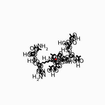 Cc1cn(C2CO[C@H](COP(=O)(S)OC3C[C@H](n4cc(C)c(=O)[nH]c4=O)O[C@@H]3COP(=O)(S)OC3C[C@H](n4cc(C)c(=O)[nH]c4=O)O[C@@H]3CO)C2OP(=O)(S)OC[C@H]2OCC(n3cc(C)c(=O)[nH]c3=O)C2OP(=O)(S)OCCCCCC[C@H]2O[C@@H](n3cnc4c(N)ncnc43)CC2OP(=O)(S)OC[C@]23O[C@@H](n4cc(C)c(N)nc4=O)C(O[C@H]2C)C3O)c(=O)nc1N